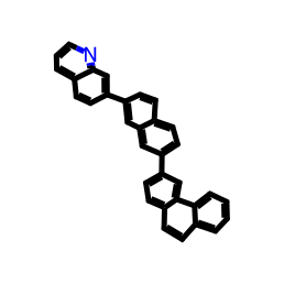 c1cnc2cc(-c3ccc4ccc(-c5ccc6ccc7ccccc7c6c5)cc4c3)ccc2c1